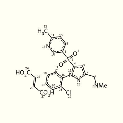 CNCc1cc(S(=O)(=O)c2ccc(C)nc2)n(-c2ccccc2Cl)n1.O=C(O)C=CC(=O)O